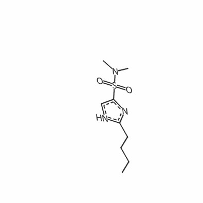 CCCCc1nc(S(=O)(=O)N(C)C)c[nH]1